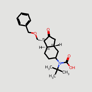 CC(C)(C)N(C(=O)O)C1CC[C@@H]2[C@H](CC(=O)[C@H]2COCc2ccccc2)C1